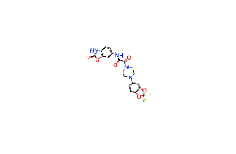 O=C(Nc1ccc2[nH]c(=O)oc2c1)C(=O)N1CCN(c2ccc3c(c2)OC(F)(F)O3)CC1